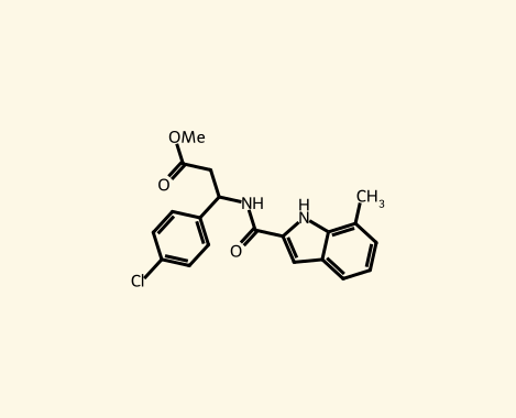 COC(=O)CC(NC(=O)c1cc2cccc(C)c2[nH]1)c1ccc(Cl)cc1